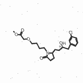 COC(=O)COCCCCN1C(=O)CCC1CC[C@@H](O)Cc1cccc(Cl)c1